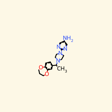 CC(c1ccc2c(c1)OCCCO2)N1CCN(c2ncc(N)cn2)CC1